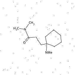 CNC1(CCC(=O)N(C)C)CCCCC1